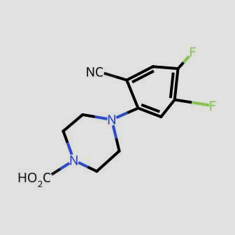 N#Cc1cc(F)c(F)cc1N1CCN(C(=O)O)CC1